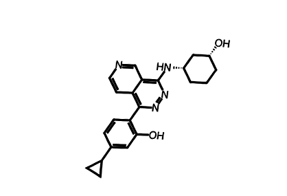 Oc1cc(C2CC2)ccc1-c1nnc(N[C@H]2CCC[C@@H](O)C2)c2cnccc12